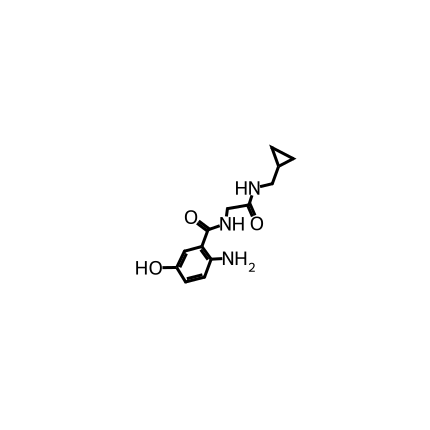 Nc1ccc(O)cc1C(=O)NCC(=O)NCC1CC1